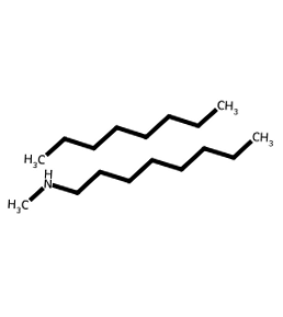 CCCCCCCC.CCCCCCCCNC